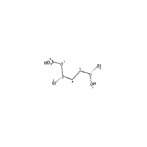 CC[C@H](O)CC[C@H](CC)OS(=O)(=O)O